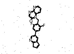 O=c1cnc2ncccc2n1Cc1c(F)cc(-c2cnc3c(c2)C=CC3)cc1F